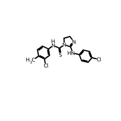 Cc1ccc(NC(=S)N2CCN=C2Nc2ccc(Cl)cc2)cc1Cl